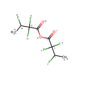 CC(F)C(F)(F)C(=O)OC(=O)C(F)(F)C(C)F